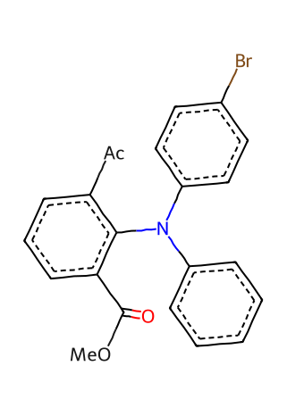 COC(=O)c1cccc(C(C)=O)c1N(c1ccccc1)c1ccc(Br)cc1